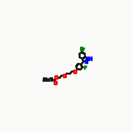 CNC(=O)OCCOCCCOc1ccc(-c2n[nH]c3cc(Br)ccc23)c(F)c1